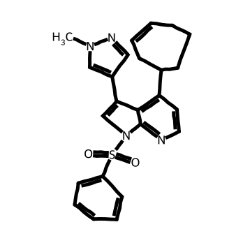 Cn1cc(-c2cn(S(=O)(=O)c3ccccc3)c3nccc(C4CC=CCCC4)c23)cn1